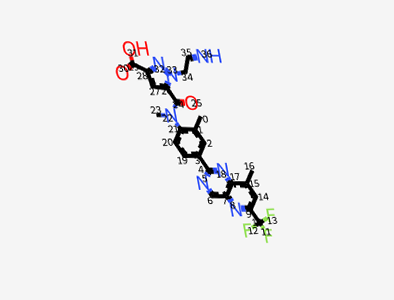 Cc1cc(-c2ncc3nc(C(F)(F)F)cc(C)c3n2)ccc1N(C)C(=O)c1cc(C(=O)O)nn1CC=N